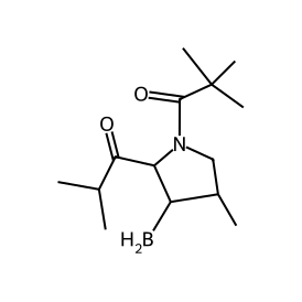 BC1C(C)CN(C(=O)C(C)(C)C)C1C(=O)C(C)C